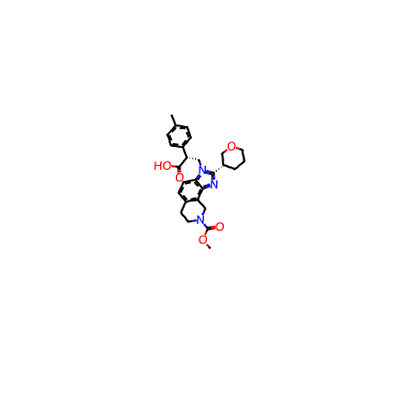 COC(=O)N1CCc2ccc3c(nc([C@H]4CCCOC4)n3C[C@H](C(=O)O)c3ccc(C)cc3)c2C1